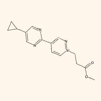 COC(=O)CC[n+]1ccc(-c2ncc(C3CC3)cn2)cn1